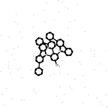 FC(F)(F)c1cc(-n2c3ccccc3c3ccc(-c4ccccc4)cc32)c(-c2cccc(-c3ccccc3)n2)c(-n2c3ccccc3c3ccc(-c4ccccc4)cc32)c1